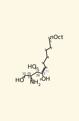 CCCCCCCCCCCCC/C=C(/O)[C@@H](O)[C@@H](N)CO